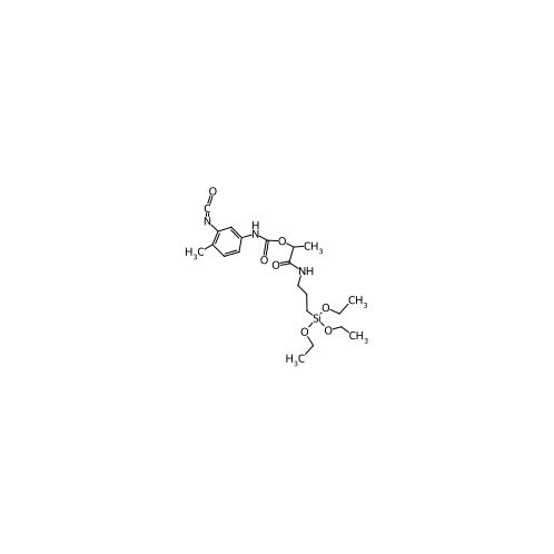 CCO[Si](CCCNC(=O)C(C)OC(=O)Nc1ccc(C)c(N=C=O)c1)(OCC)OCC